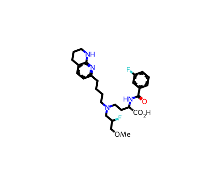 COCC(F)CN(CCCCc1ccc2c(n1)NCCC2)CCC(NC(=O)c1cccc(F)c1)C(=O)O